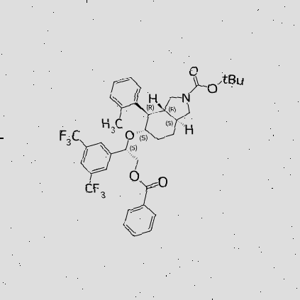 Cc1ccccc1[C@H]1[C@@H]2CN(C(=O)OC(C)(C)C)C[C@H]2CC[C@@H]1O[C@H](COC(=O)c1ccccc1)c1cc(C(F)(F)F)cc(C(F)(F)F)c1